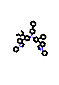 C=C/C=C(\C=C)C1C=C(N(C2=CC=C(C3=CC=CCC3)CC2)c2ccc(-c3cccc4c3ccn4-c3ccccc3)c(-c3ccccc3)c2)C=CC1C1=CCCc2c1ccn2-c1ccccc1